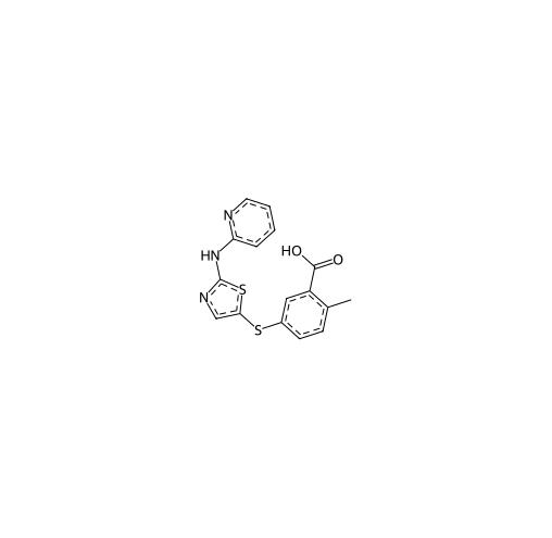 Cc1ccc(Sc2cnc(Nc3ccccn3)s2)cc1C(=O)O